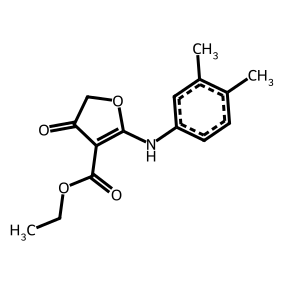 CCOC(=O)C1=C(Nc2ccc(C)c(C)c2)OCC1=O